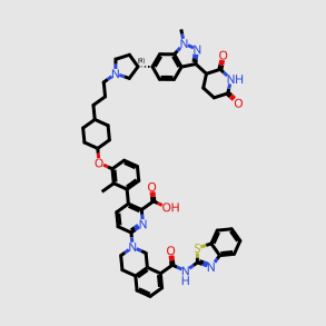 Cc1c(OC2CCC(CCCN3CC[C@H](c4ccc5c(C6CCC(=O)NC6=O)nn(C)c5c4)C3)CC2)cccc1-c1ccc(N2CCc3cccc(C(=O)Nc4nc5ccccc5s4)c3C2)nc1C(=O)O